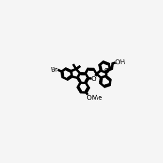 COc1ccc2c3c(c4c(c2c1)OC(c1ccccc1)(c1ccccc1OCCO)C=C4)C(C)(C)c1cc(Br)ccc1-3